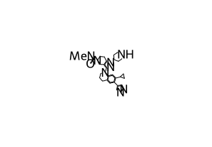 CNC(=O)N1CCc2c(c(N3CCCc4cc(-c5cnn(C)c5)c(C5CC5)cc43)nn2C2CCNCC2)C1